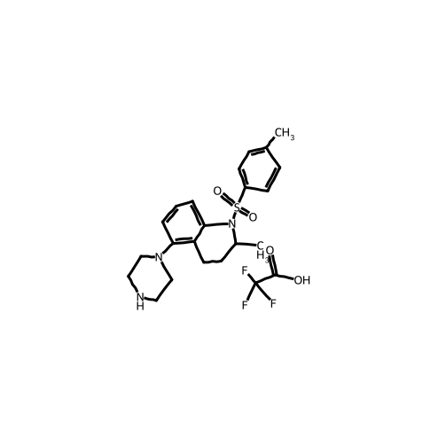 Cc1ccc(S(=O)(=O)N2c3cccc(N4CCNCC4)c3CCC2C)cc1.O=C(O)C(F)(F)F